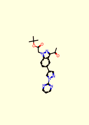 CC(=O)c1nn(CC(=O)OC(C)(C)C)c2ccc(-c3cnn(-c4ncccn4)c3)cc12